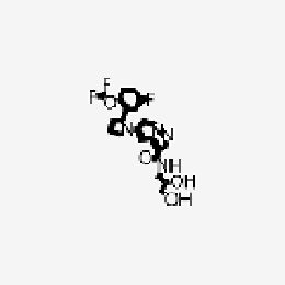 O=C(NCC(O)CO)c1cnn2ccc(N3CCCC3c3cc(F)ccc3OC(F)F)cc12